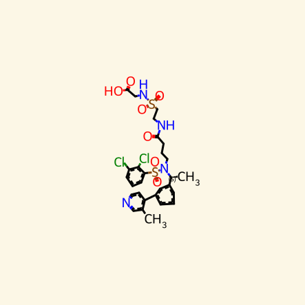 Cc1cnccc1-c1cccc([C@H](C)N(CCCC(=O)NCCS(=O)(=O)NCC(=O)O)S(=O)(=O)c2cccc(Cl)c2Cl)c1